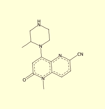 CC1CNCCN1c1cc(=O)n(C)c2ccc(C#N)nc12